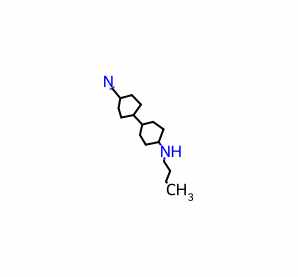 CCCCNC1CCC(C2CCC(C#N)CC2)CC1